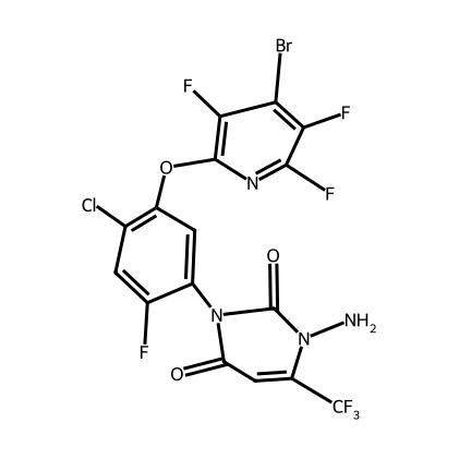 Nn1c(C(F)(F)F)cc(=O)n(-c2cc(Oc3nc(F)c(F)c(Br)c3F)c(Cl)cc2F)c1=O